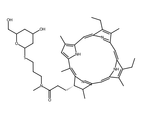 CCC1=C(C)c2cc3[nH]c(cc4nc(c(C)c5cc(C)c(cc1n2)[nH]5)[C@@H](CCC(=O)N(C)CCCSC1CC(O)CC(CO)O1)C4C)c(C)c3CC